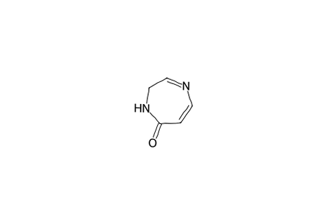 O=C1C=CN=CCN1